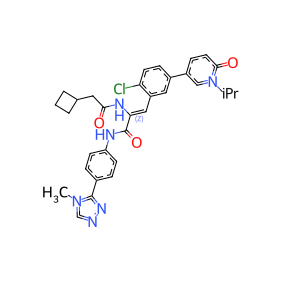 CC(C)n1cc(-c2ccc(Cl)c(/C=C(\NC(=O)CC3CCC3)C(=O)Nc3ccc(-c4nncn4C)cc3)c2)ccc1=O